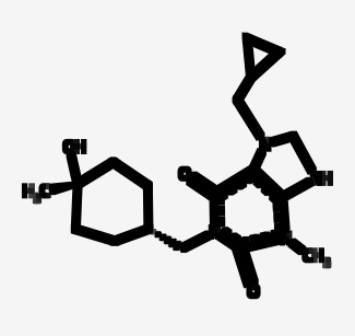 Cn1c2c(c(=O)n(C[C@H]3CC[C@@](C)(O)CC3)c1=O)N(CC1CC1)CN2